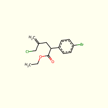 C=C(CCl)CC(C(=O)OCC)c1ccc(Br)cc1